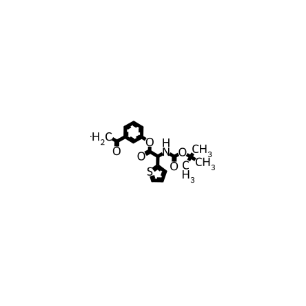 [CH2]C(=O)c1cccc(OC(=O)C(NC(=O)OC(C)(C)C)c2cccs2)c1